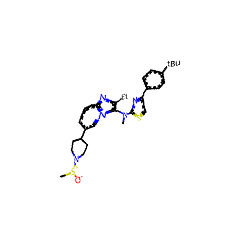 CCc1nc2ccc(C3CCN([S+](C)[O-])CC3)cn2c1N(C)c1nc(-c2ccc(C(C)(C)C)cc2)cs1